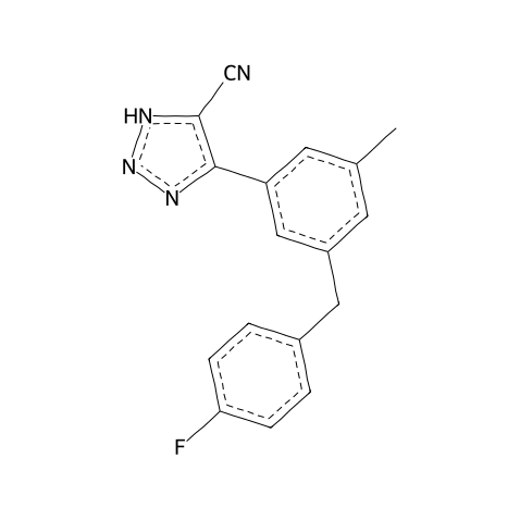 Cc1cc(Cc2ccc(F)cc2)cc(-c2nn[nH]c2C#N)c1